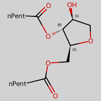 CCCCCC(=O)OC[C@@H]1OC[C@H](O)[C@H]1OC(=O)CCCCC